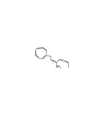 CC=C=C/C(N)=C\C/C1=C/C=C=CC=C=C1